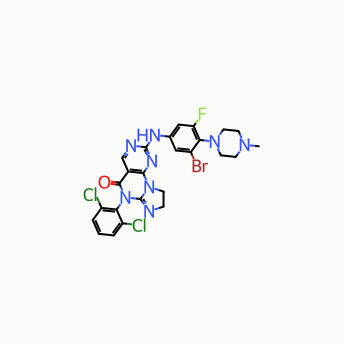 CN1CCN(c2c(F)cc(Nc3ncc4c(n3)N3CCN=C3N(c3c(Cl)cccc3Cl)C4=O)cc2Br)CC1